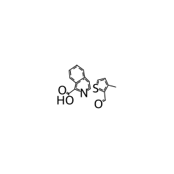 Cc1ccsc1C=O.O=C(O)c1nccc2ccccc12